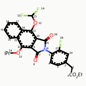 CCOC(=O)Cc1ccc(N2C(=O)c3c(c(OC(F)F)c4ccccc4c3OC(C)C)C2=O)c(F)c1